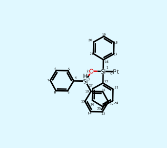 [Pt][Si](O[SiH](c1ccccc1)c1ccccc1)(c1ccccc1)c1ccccc1